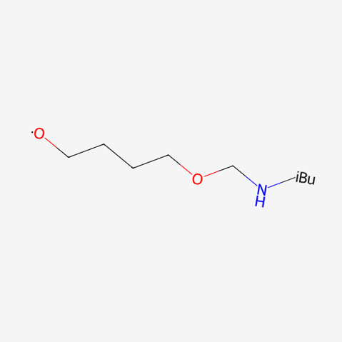 CCC(C)NCOCCCC[O]